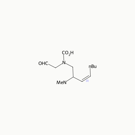 CCCC/C=C\C(CN(CC=O)C(=O)O)NC